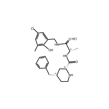 Cc1cc(Cl)cc(CNC(=O)[C@H](C)NC(=O)[C@H]2C[C@@H](Cc3ccccc3)CCN2)c1O.Cl